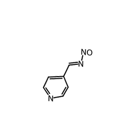 O=NN=Cc1ccncc1